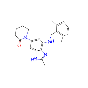 Cc1nc2c(NCc3c(C)cccc3C)cc(N3CCCCC3=O)cc2[nH]1